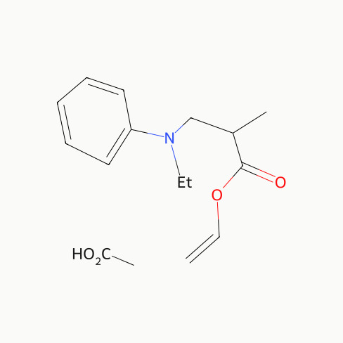 C=COC(=O)C(C)CN(CC)c1ccccc1.CC(=O)O